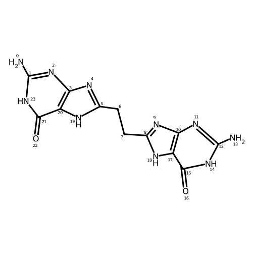 Nc1nc2nc(CCc3nc4nc(N)[nH]c(=O)c4[nH]3)[nH]c2c(=O)[nH]1